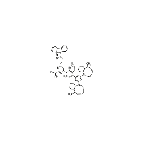 C=C1/C=C\C=C/CN(c2cc(C(=C/C)/C(/C=C\C)=C(/CC)CC3CC(CC/C=C(\CC)N4c5ccccc5C5C=CC=C[C@H]54)=NC(C(CCC)CCC)=N3)cc(N3C/C=C\C=C/C(=C)C4CCCCC43)c2)C2=C1C=CCC2